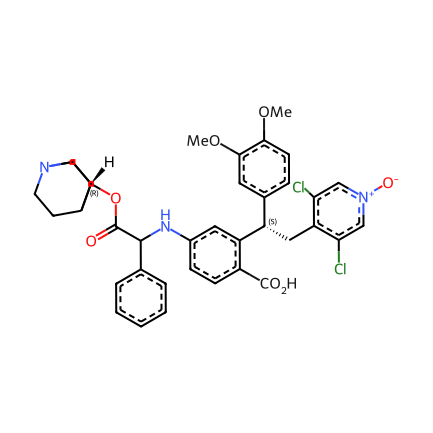 COc1ccc([C@H](Cc2c(Cl)c[n+]([O-])cc2Cl)c2cc(NC(C(=O)O[C@H]3CN4CCC3CC4)c3ccccc3)ccc2C(=O)O)cc1OC